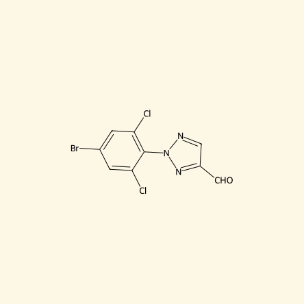 O=Cc1cnn(-c2c(Cl)cc(Br)cc2Cl)n1